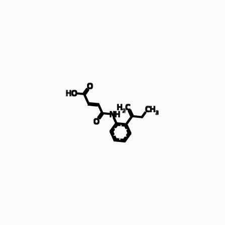 C=C(CC)c1ccccc1NC(=O)C=CC(=O)O